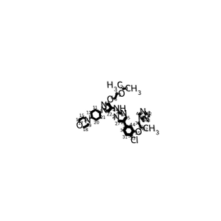 CC(C)OCCOc1nn([C@H]2CC[C@H](N3CCOCC3)CC2)cc1Nc1ncc(-c2ccc(Cl)c(O[C@@H](C)Cn3cnnn3)c2)cn1